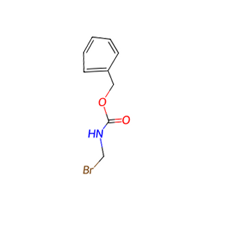 O=C(NCBr)OCc1ccccc1